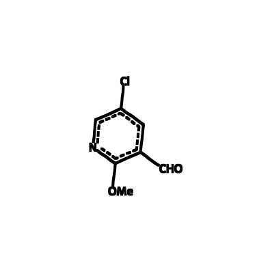 COc1ncc(Cl)cc1C=O